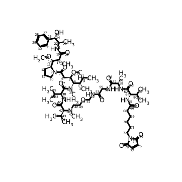 CC[C@H](C)[C@@H]([C@@H](CC(=O)N1CCC[C@H]1[C@H](OC)[C@@H](C)C(=O)N[C@H](C)[C@@H](O)c1ccccc1)OC)N(C)C(=O)[C@@H](NC(=O)[C@H](C(C)C)N(C)CCOCNC(=O)CNC(=O)[C@H](C)NC(=O)[C@@H](NC(=O)CCCCCN1C(=O)C=CC1=O)C(C)C)C(C)C